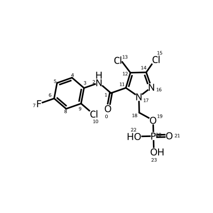 O=C(Nc1ccc(F)cc1Cl)c1c(Cl)c(Cl)nn1COP(=O)(O)O